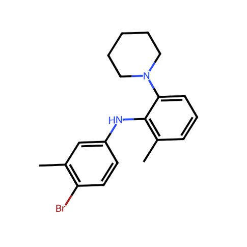 Cc1cc(Nc2c(C)cccc2N2CCCCC2)ccc1Br